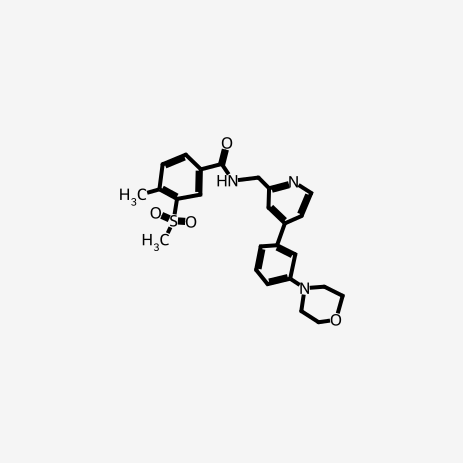 Cc1ccc(C(=O)NCc2cc(-c3cccc(N4CCOCC4)c3)ccn2)cc1S(C)(=O)=O